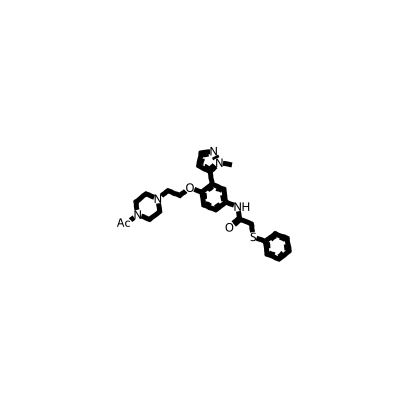 CC(=O)N1CCN(CCOc2ccc(NC(=O)CSc3ccccc3)cc2-c2ccnn2C)CC1